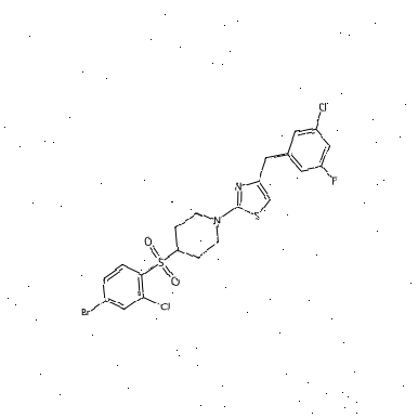 O=S(=O)(c1ccc(Br)cc1Cl)C1CCN(c2nc(Cc3cc(F)cc(Cl)c3)cs2)CC1